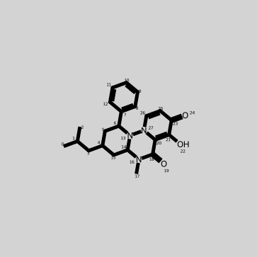 CC(C)CC1CC(c2ccccc2)N2C(C1)N(C)C(=O)c1c(O)c(=O)ccn12